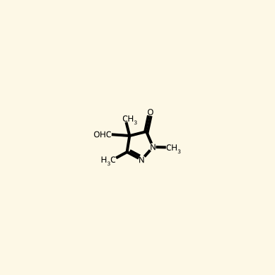 CC1=NN(C)C(=O)C1(C)C=O